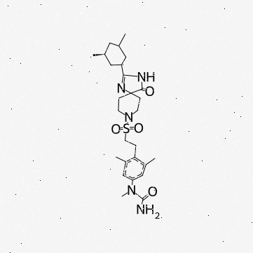 Cc1cc(N(C)C(N)=O)cc(C)c1CCS(=O)(=O)N1CCC2(CC1)N=C(C1CC(C)C[C@H](C)C1)NC2=O